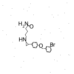 NC(=O)CCCCN[C@H]1CC1c1ccc(OCc2cccc(Br)c2)cc1